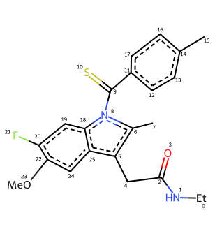 CCNC(=O)Cc1c(C)n(C(=S)c2ccc(C)cc2)c2cc(F)c(OC)cc12